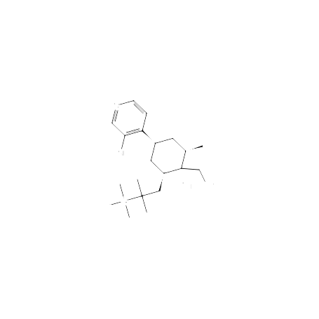 CC(=O)OC[C@@]1(O)[C@@H](CC(C)(C)[Si](C)(C)O)C[C@@H](c2ccncc2N)C[C@H]1C